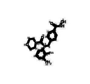 O=C(NO)c1ccc(CN(C(=O)N2CCOCC2)c2cccc(P)c2F)cc1